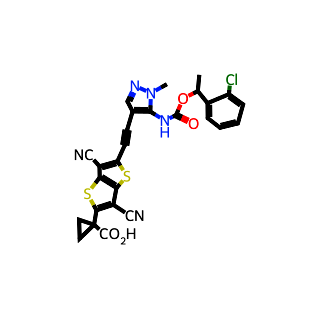 CC(OC(=O)Nc1c(C#Cc2sc3c(C#N)c(C4(C(=O)O)CC4)sc3c2C#N)cnn1C)c1ccccc1Cl